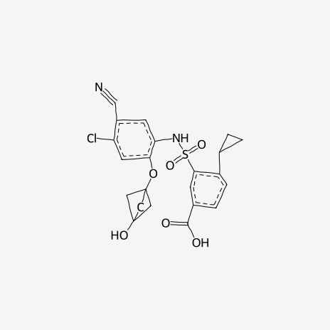 N#Cc1cc(NS(=O)(=O)c2cc(C(=O)O)ccc2C2CC2)c(OC23CC(O)(C2)C3)cc1Cl